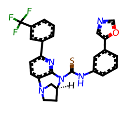 FC(F)(F)c1cccc(-c2ccc3c(n2)N(C(=S)Nc2cccc(-c4cnco4)c2)[C@H]2CCN3C2)c1